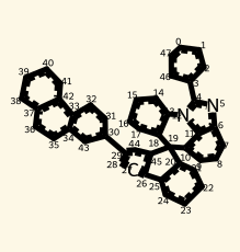 c1ccc(-c2nc3cccc4c3n2-c2ccccc2C42c3ccccc3-c3ccc(-c4ccc5c(ccc6ccccc65)c4)cc32)cc1